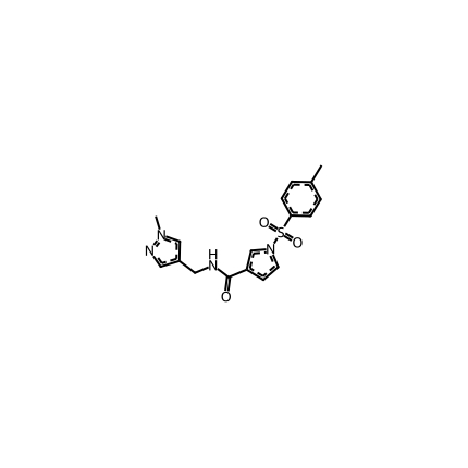 Cc1ccc(S(=O)(=O)n2ccc(C(=O)NCc3cnn(C)c3)c2)cc1